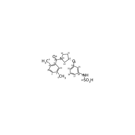 Cc1ccc(C)c(C(=O)N2CC[C@H](Oc3cccc(NS(=O)(=O)O)c3)C2)c1